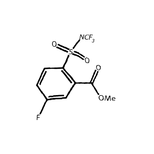 COC(=O)c1cc(F)ccc1S(=O)(=O)NC(F)(F)F